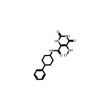 CCNc1c(C(=O)NC2CCC(c3ccccc3)CC2)[nH]c(=O)[nH]c1=O